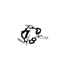 CCC(C)C(C(=O)Nc1cccc2c1CC(OC(=O)O)C2)c1ccc(CN2N=C(c3ccccc3)OCC2=O)cc1